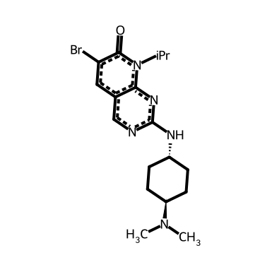 CC(C)n1c(=O)c(Br)cc2cnc(N[C@H]3CC[C@H](N(C)C)CC3)nc21